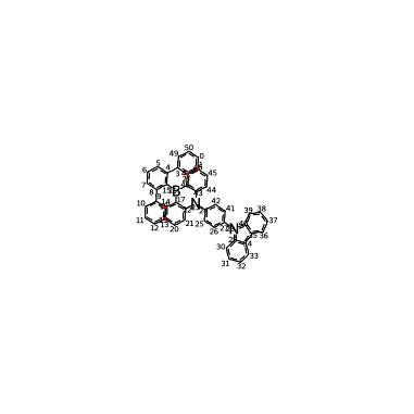 c1ccc(-c2cccc(-c3ccccc3)c2B2c3ccccc3N(c3ccc(-n4c5ccccc5c5ccccc54)cc3)c3ccccc32)cc1